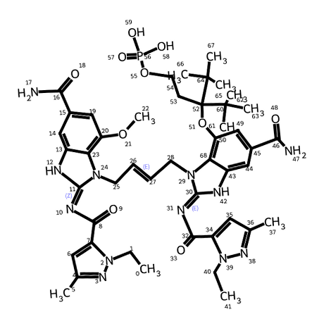 CCn1nc(C)cc1C(=O)/N=c1/[nH]c2cc(C(N)=O)cc(OC)c2n1C/C=C/Cn1/c(=N/C(=O)c2cc(C)nn2CC)[nH]c2cc(C(N)=O)cc(OC(CCOP(=O)(O)O)(C(C)(C)C)C(C)(C)C)c21